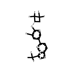 CC(F)(F)c1nnc2ccc(-c3cnc(O[C@H]4CC(F)(F)C4(F)F)c(F)c3)nn12